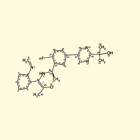 C=Nc1ccccc1/C(N[C@H](C)c1cc(-c2cnc(C(C)(C)O)nc2)ccc1F)=C(\C)Cl